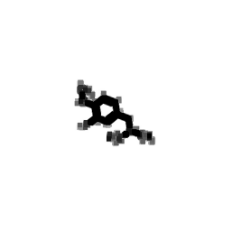 COc1ccc(CN(C)C)cc1F